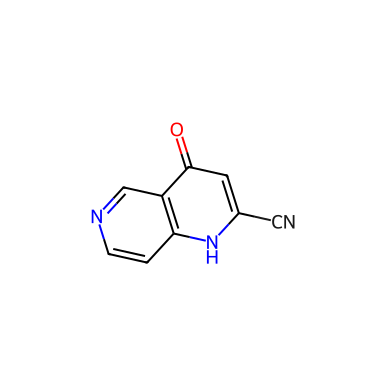 N#Cc1cc(=O)c2cnccc2[nH]1